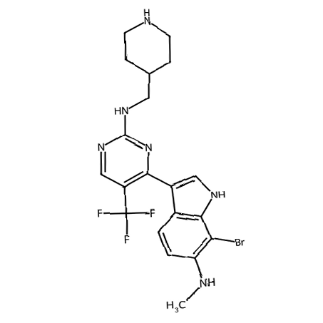 CNc1ccc2c(-c3nc(NCC4CCNCC4)ncc3C(F)(F)F)c[nH]c2c1Br